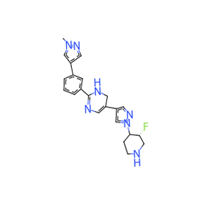 Cn1cc(-c2cccc(C3=NC=C(c4cnn(C5CCNC[C@H]5F)c4)CN3)c2)cn1